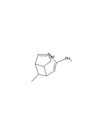 CC1C2C=NC(P)=CC1C2CO